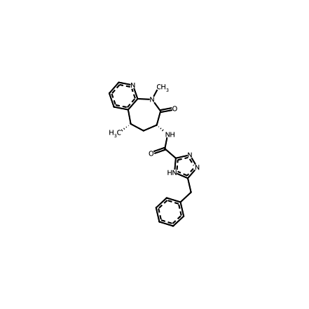 C[C@H]1C[C@@H](NC(=O)c2nnc(Cc3ccccc3)[nH]2)C(=O)N(C)c2ncccc21